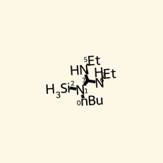 CCCCN([SiH3])C(NCC)NCC